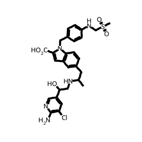 CC(Cc1ccc2c(c1)cc(C(=O)O)n2Cc1ccc(NCS(C)(=O)=O)cc1)NCC(O)c1cnc(N)c(Cl)c1